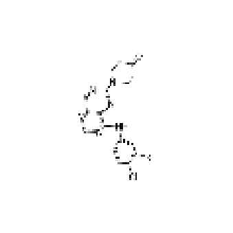 O=C1CCN(c2ncc3ncnc(Nc4ccc(Cl)c(Cl)c4)c3n2)CC1